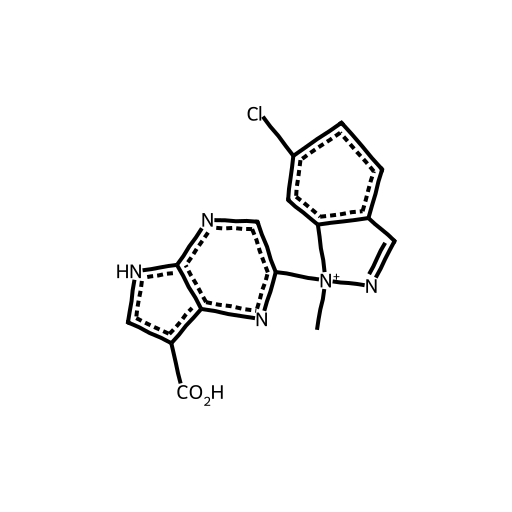 C[N+]1(c2cnc3[nH]cc(C(=O)O)c3n2)N=Cc2ccc(Cl)cc21